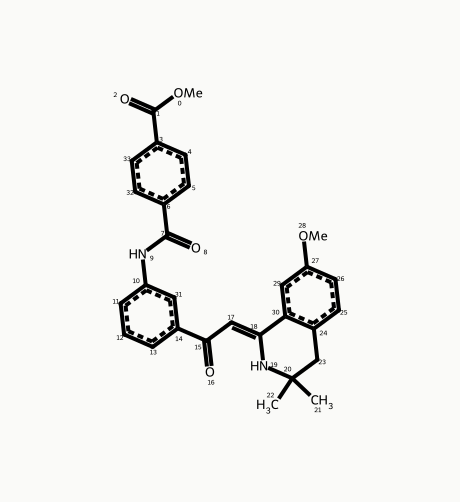 COC(=O)c1ccc(C(=O)Nc2cccc(C(=O)/C=C3\NC(C)(C)Cc4ccc(OC)cc43)c2)cc1